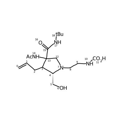 C=CCC1[C@@H](CO)N(CCNC(=O)O)CC1(NC(C)=O)C(=O)NC(C)(C)C